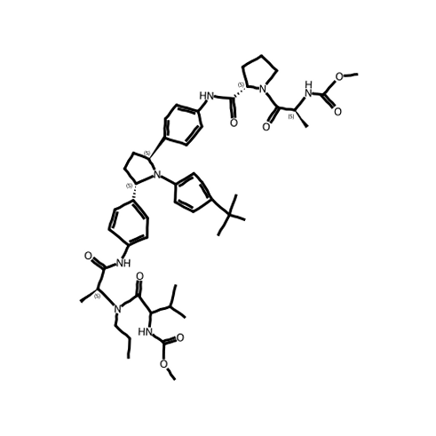 CCCN(C(=O)C(NC(=O)OC)C(C)C)[C@@H](C)C(=O)Nc1ccc([C@@H]2CC[C@@H](c3ccc(NC(=O)[C@@H]4CCCN4C(=O)[C@H](C)NC(=O)OC)cc3)N2c2ccc(C(C)(C)C)cc2)cc1